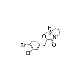 O=C1C(Cc2ccc(Br)c(Cl)c2)OC[C@@H]2CCCN12